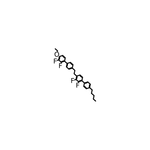 CCCCCc1ccc(-c2ccc(CCc3ccc(-c4ccc(OCC)c(F)c4F)cc3)c(F)c2F)cc1